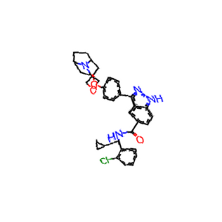 O=C(N[C@H](c1ccccc1Cl)C1CC1)c1ccc2[nH]nc(-c3ccc(OC4CC5CCC(C4)N5C4COC4)cc3)c2c1